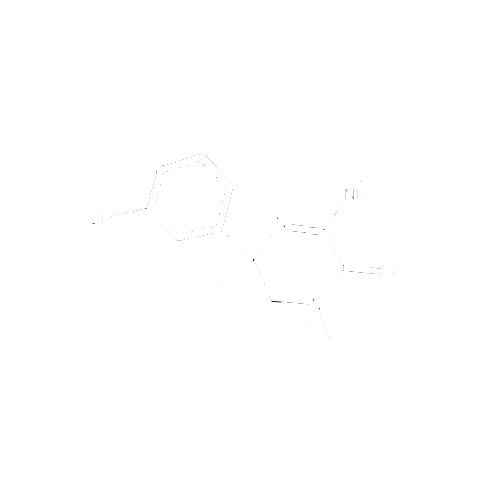 CN1CC(C)(c2cccc(Br)c2)N=C(N)C1=O